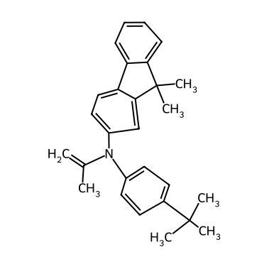 C=C(C)N(c1ccc(C(C)(C)C)cc1)c1ccc2c(c1)C(C)(C)c1ccccc1-2